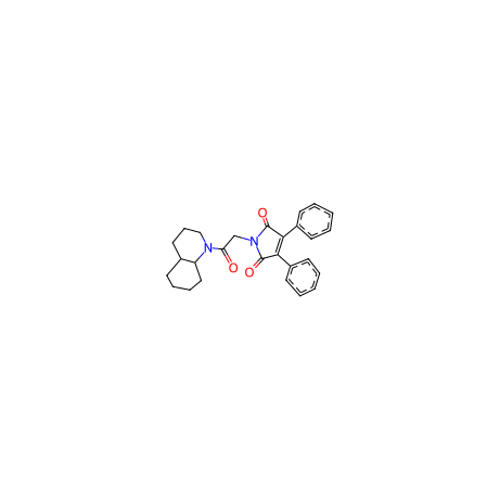 O=C1C(c2ccccc2)=C(c2ccccc2)C(=O)N1CC(=O)N1CCCC2CCCCC21